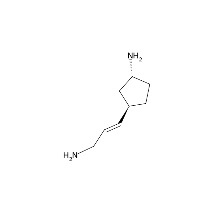 NCC=C[C@@H]1CC[C@@H](N)C1